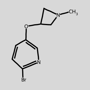 CN1CC(Oc2ccc(Br)nc2)C1